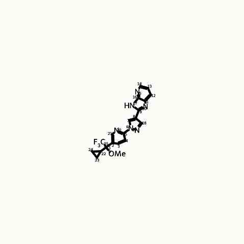 COC(c1ccc(-n2cc(-c3nc4cccnc4[nH]3)cn2)nc1)(C1CC1)C(F)(F)F